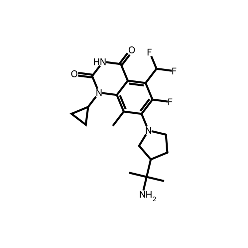 Cc1c(N2CCC(C(C)(C)N)C2)c(F)c(C(F)F)c2c(=O)[nH]c(=O)n(C3CC3)c12